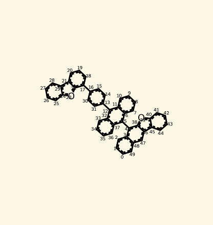 c1ccc2c(-c3c4ccccc4c(-c4ccc(-c5cccc6c5oc5ccccc56)cc4)c4ccccc34)c3oc4ccccc4c3cc2c1